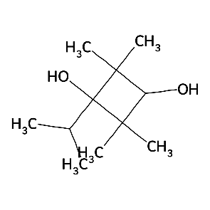 CC(C)C1(O)C(C)(C)C(O)C1(C)C